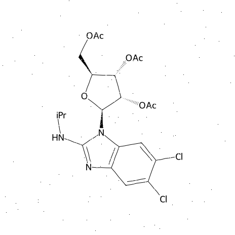 CC(=O)OC[C@@H]1O[C@H](n2c(NC(C)C)nc3cc(Cl)c(Cl)cc32)[C@@H](OC(C)=O)[C@H]1OC(C)=O